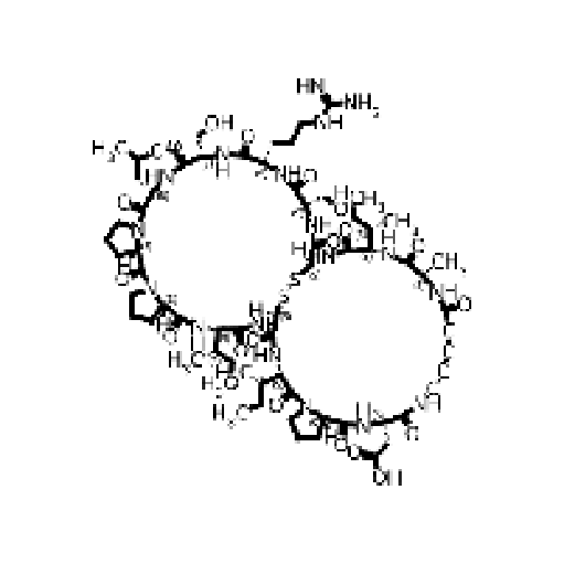 CC[C@H](C)[C@@H]1NC(=O)[C@H](C)NC(=O)CCCCNC(=O)[C@H](CC(=O)O)NC(=O)[C@@H]2CCCN2C(=O)[C@H]([C@@H](C)CC)NC(=O)[C@H]2NC(=O)[C@H]([C@@H](C)CC)NC(=O)[C@@H]3CCCN3C(=O)[C@@H]3CCCN3C(=O)[C@H](CC(C)C)NC(=O)[C@H](CO)NC(=O)[C@H](CCCNC(=N)N)NC(=O)[C@H](CO)NC(=O)[C@@H](NC1=O)SS2